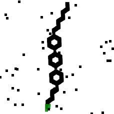 CCCCCCC[C@H]1CC[C@H](C2CCC([C@H]3CC[C@H](/C=C/CCF)CC3)CC2)CC1